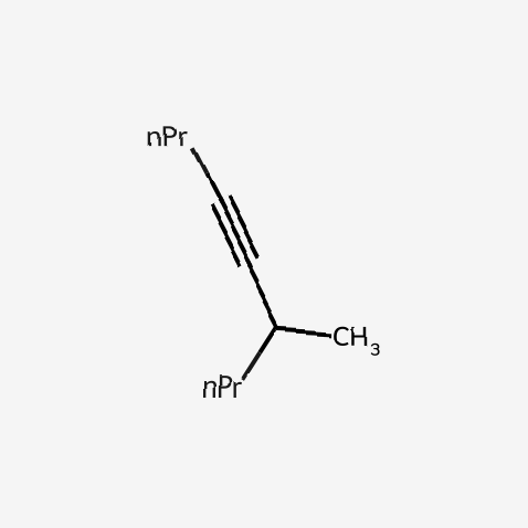 [CH2]CCC#CC(C)CCC